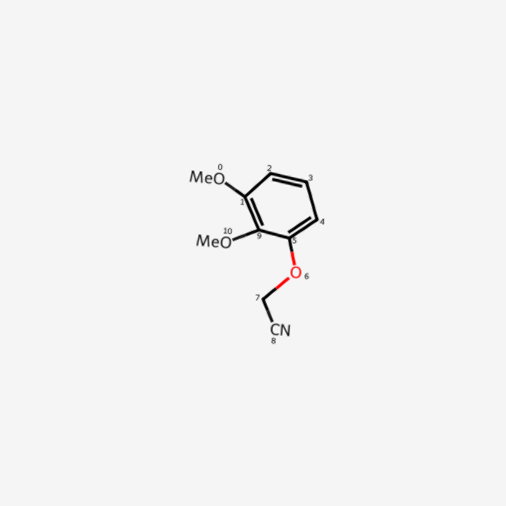 COc1cccc(OCC#N)c1OC